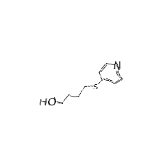 OCCCCSc1ccncc1